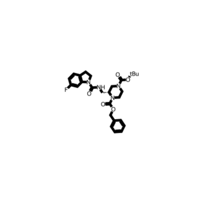 CC(C)(C)OC(=O)N1CCN(C(=O)OCc2ccccc2)[C@H](CNC(=O)N2CCc3ccc(F)cc32)C1